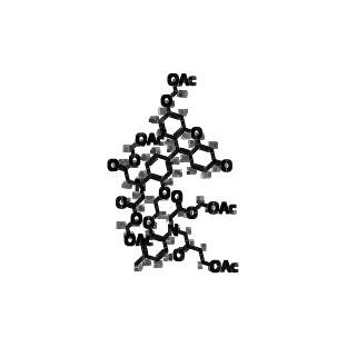 CC(=O)OCCC(=O)CN(CC(=O)OCOC(C)=O)c1ccc(C)cc1OCCOc1cc(-c2c3ccc(=O)cc-3oc3cc(OCOC(C)=O)ccc23)ccc1N(CC(=O)OCOC(C)=O)CC(=O)OCOC(C)=O